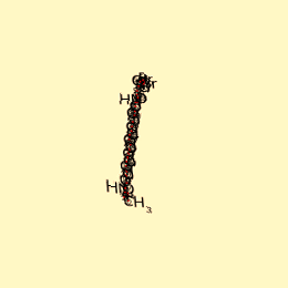 Cc1ccc(NC(=O)CCOCCOCCOCCOCCOCCOCCOCCOCCOCCOCCOCCOCCNC(=O)CCCCCN2C(=O)C(Br)=C(Br)C2=O)cc1